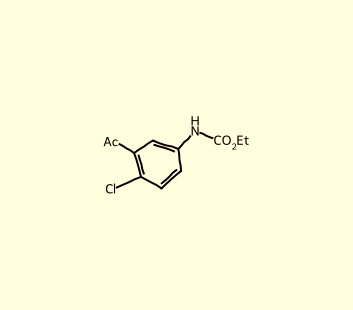 CCOC(=O)Nc1ccc(Cl)c(C(C)=O)c1